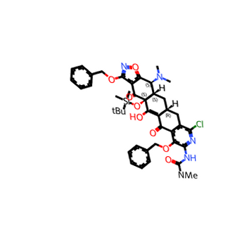 CNC(=O)Nc1nc(Cl)c2c(c1OCc1ccccc1)C(=O)C1=C(O)[C@]3(O[Si](C)(C)C(C)(C)C)C(=O)c4c(OCc5ccccc5)noc4[C@@H](N(C)C)[C@@H]3C[C@@H]1C2